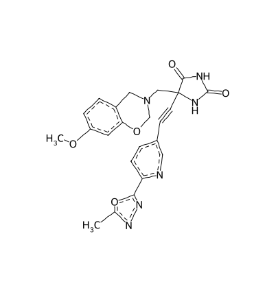 COc1ccc2c(c1)OCN(CC1(C#Cc3ccc(-c4nnc(C)o4)nc3)NC(=O)NC1=O)C2